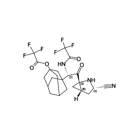 N#C[C@@H]1C[C@@H]2C[C@]2(C(=O)[C@@H](NC(=O)C(F)(F)F)C23CC4CC(CC(OC(=O)C(F)(F)F)(C4)C2)C3)N1